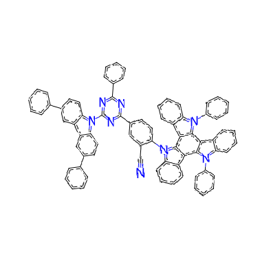 N#Cc1cc(-c2nc(-c3ccccc3)nc(-n3c4ccc(-c5ccccc5)cc4c4cc(-c5ccccc5)ccc43)n2)ccc1-n1c2ccccc2c2c3c(c4ccccc4n3-c3ccccc3)c3c(c4ccccc4n3-c3ccccc3)c21